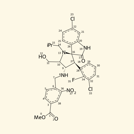 COC(=O)c1ccc(CN[C@@H]2C(CO)N(CC(C)C)[C@@]3(C(=O)Nc4cc(Cl)ccc43)[C@H]2c2cccc(Cl)c2F)c([N+](=O)[O-])c1